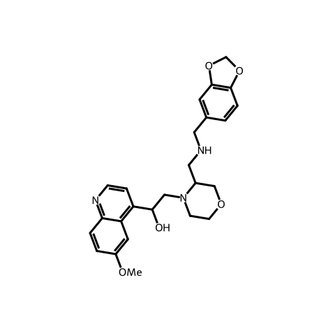 COc1ccc2nccc(C(O)CN3CCOCC3CNCc3ccc4c(c3)OCO4)c2c1